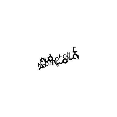 Cc1cc(C(=O)N[C@@H](C)CCc2ccc(NCc3cncc(C(C)(C)F)c3)c(O)c2)cc(C(=O)N2CCC[C@@H]2c2nc(C)co2)c1